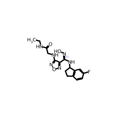 CCNC(=O)CNc1nonc1/C(=N\O)NC1CCc2ccc(F)cc21